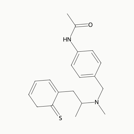 CC(=O)Nc1ccc(CN(C)C(C)CC2=CC=CCC2=S)cc1